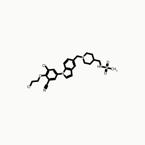 CS(=O)(=O)NCC1CCN(Cc2ccc3c(ccn3-c3cc(Cl)c(OCCCl)c(C#N)c3)c2)CC1